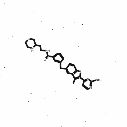 Cc1c(-c2ccnc(N)n2)sc2ccc(Cc3cccc(C(=O)NCCC4COCCN4)c3)cc12